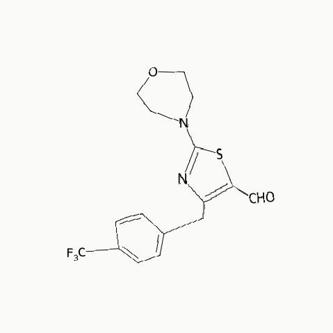 O=Cc1sc(N2CCOCC2)nc1Cc1ccc(C(F)(F)F)cc1